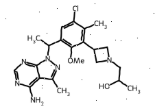 COc1c(C(C)n2nc(C)c3c(N)ncnc32)cc(Cl)c(C)c1C1CN(CC(C)O)C1